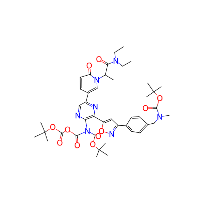 CCN(CC)C(=O)C(C)n1cc(-c2cnc(N(C(=O)OC(=O)OC(C)(C)C)C(=O)OC(C)(C)C)c(-c3cc(-c4ccc(CN(C)C(=O)OC(C)(C)C)cc4)no3)n2)ccc1=O